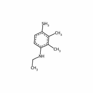 CCNc1ccc([SiH3])c(C)c1C